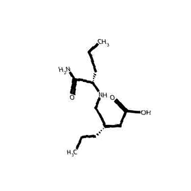 CCC[C@H](CN[C@@H](CCC)C(N)=O)CC(=O)O